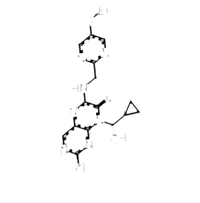 CCSc1cnc(CNc2nc3cnc(Cl)nc3n([C@@H](C)C3CC3)c2=O)nc1